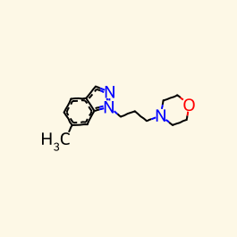 Cc1ccc2cnn(CCCN3CCOCC3)c2c1